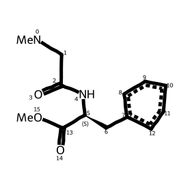 CNCC(=O)N[C@@H](Cc1ccccc1)C(=O)OC